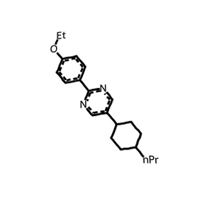 CCCC1CCC(c2cnc(-c3ccc(OCC)cc3)nc2)CC1